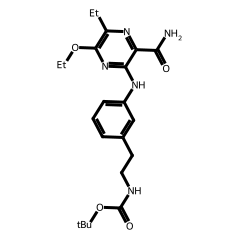 CCOc1nc(Nc2cccc(CCNC(=O)OC(C)(C)C)c2)c(C(N)=O)nc1CC